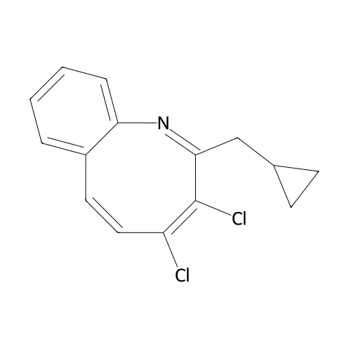 ClC1=C(Cl)C(CC2CC2)=Nc2ccccc2C=C1